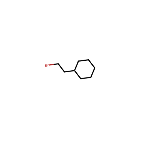 BrCCC1[CH]CC[CH]C1